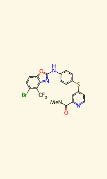 CNC(=O)c1cc(Sc2ccc(Nc3nc4c(C(F)(F)F)c(Br)ccc4o3)cc2)ccn1